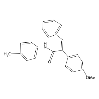 COc1ccc(C(=Cc2ccccc2)C(=O)Nc2ccc(C)cc2)cc1